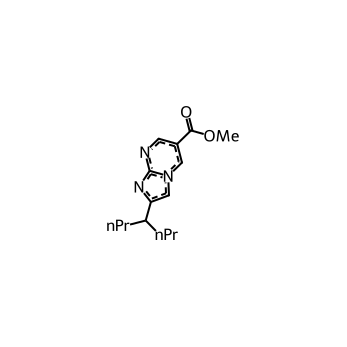 CCCC(CCC)c1cn2cc(C(=O)OC)cnc2n1